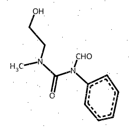 CN(CCO)C(=O)N(C=O)c1ccccc1